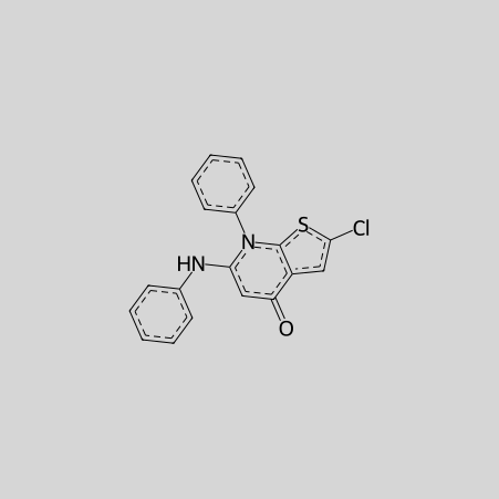 O=c1cc(Nc2ccccc2)n(-c2ccccc2)c2sc(Cl)cc12